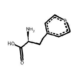 N[C@@H](Cc1ccbcc1)C(=O)O